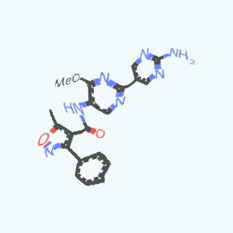 COc1nc(-c2cnc(N)nc2)ncc1NC(=O)c1c(-c2ccccc2)noc1C